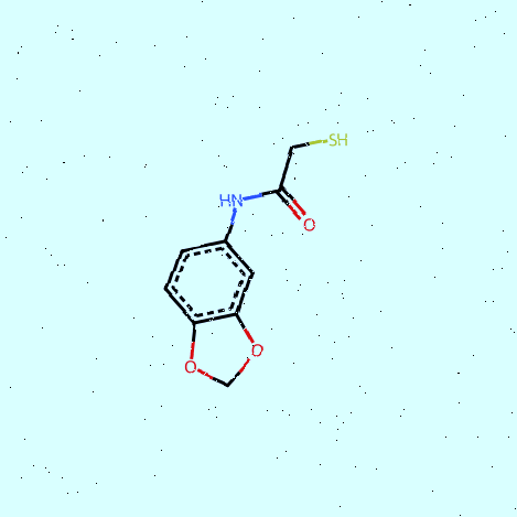 O=C(CS)Nc1ccc2c(c1)OCO2